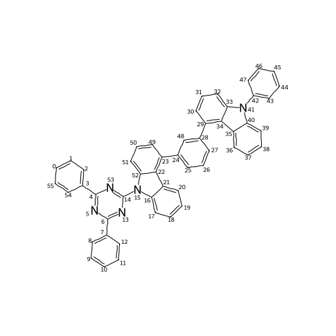 c1ccc(-c2nc(-c3ccccc3)nc(-n3c4ccccc4c4c(-c5cccc(-c6cccc7c6c6ccccc6n7-c6ccccc6)c5)cccc43)n2)cc1